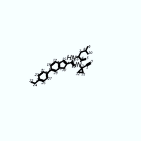 C#CC1(NC(=C)C(CC(C)C)NC(=C)C2=Cc3ccc(-c4ccc(CC)cc4)cc3C2)CC1